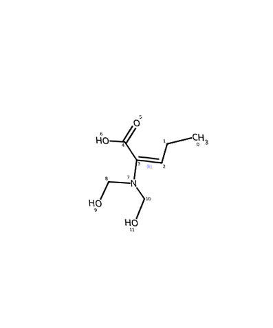 CC/C=C(\C(=O)O)N(CO)CO